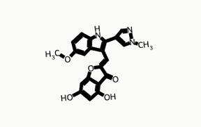 COc1ccc2[nH]c(-c3cnn(C)c3)c(C=C3Oc4cc(O)cc(O)c4C3=O)c2c1